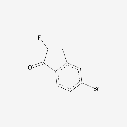 O=C1c2ccc(Br)cc2CC1F